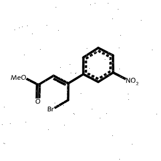 COC(=O)C=C(CBr)c1cccc([N+](=O)[O-])c1